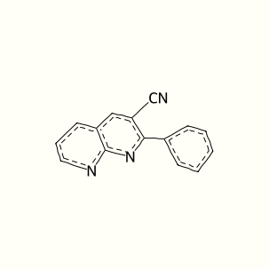 N#Cc1cc2cccnc2nc1-c1ccccc1